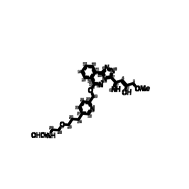 COC/C(O)=C/C(=N)c1nnc2c3ccccc3c(OCc3ccc(CCCOCCNC=O)cn3)nn12